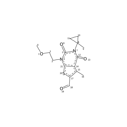 COCCn1c(=O)n(C2(C)CC2)c(=O)c2c(C)c(C=O)sc21